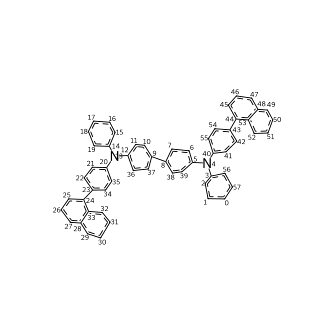 c1ccc(N(c2ccc(-c3ccc(N(c4ccccc4)c4ccc(-c5cccc6ccccc56)cc4)cc3)cc2)c2ccc(-c3cccc4ccccc34)cc2)cc1